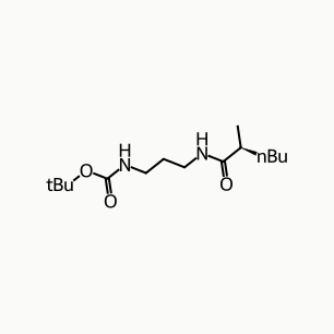 CCCC[C@H](C)C(=O)NCCCNC(=O)OC(C)(C)C